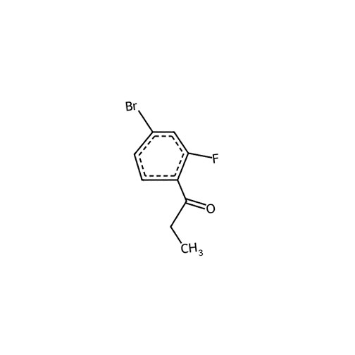 CCC(=O)c1ccc(Br)cc1F